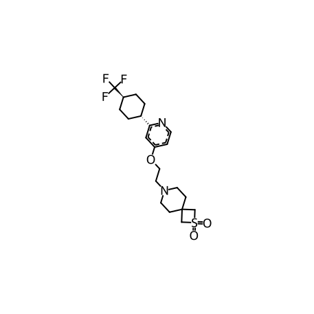 O=S1(=O)CC2(CCN(CCOc3ccnc([C@H]4CC[C@H](C(F)(F)F)CC4)c3)CC2)C1